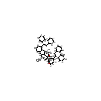 CCCC1=C2c3c(-c4cc5ccccc5c5ccccc45)cccc3[CH]1[Zr+2][CH]1C(CCC)=C(c3c(-c4cc5ccccc5c5ccccc45)cccc31)[Si]2(C)C.[Cl-].[Cl-]